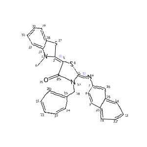 CN1/C(=C2/S/C(=N/c3ccc4ccccc4c3)N(Cc3ccccc3)C2=O)Sc2ccccc21